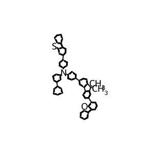 CC1(C)c2ccc(-c3ccc(N(c4ccc(-c5ccc6c(c5)sc5ccccc56)cc4)c4cccc(-c5ccccc5)c4)cc3)cc2-c2ccc(-c3cccc4c3oc3ccccc34)cc21